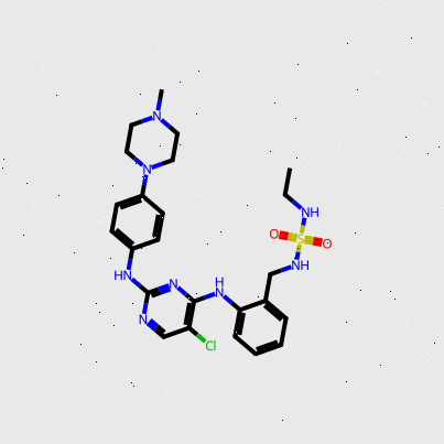 CCNS(=O)(=O)NCc1ccccc1Nc1nc(Nc2ccc(N3CCN(C)CC3)cc2)ncc1Cl